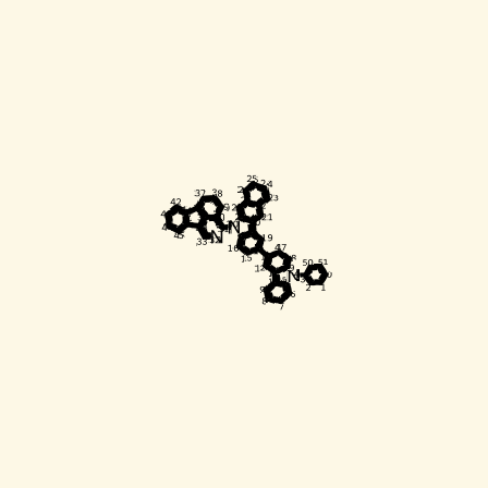 c1ccc(-n2c3ccccc3c3cc(-c4ccc5c(c4)c4cc6ccccc6cc4n5-c4ncc5c6c(cccc46)-c4ccccc4-5)ccc32)cc1